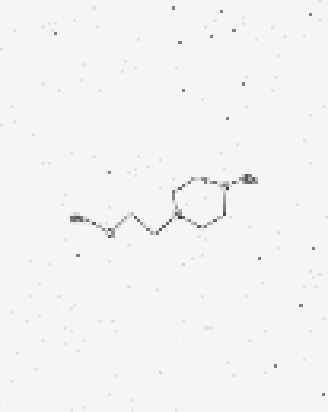 CCC(C)N1CCN(CCOC(C)(C)C)CC1